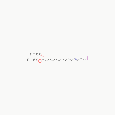 CCCCCCOC(CCCCCCCCC/C=C/CCI)OCCCCCC